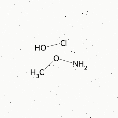 CON.OCl